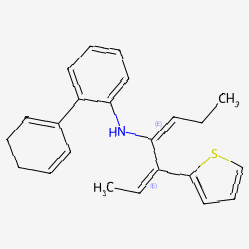 C/C=C(\C(=C/CC)Nc1ccccc1C1=CCCC=C1)c1cccs1